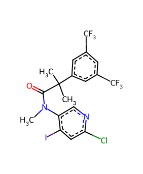 CN(C(=O)C(C)(C)c1cc(C(F)(F)F)cc(C(F)(F)F)c1)c1cnc(Cl)cc1I